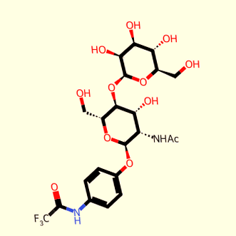 CC(=O)N[C@@H]1[C@@H](Oc2ccc(NC(=O)C(F)(F)F)cc2)O[C@H](CO)[C@@H](O[C@@H]2O[C@H](CO)[C@@H](O)[C@H](O)[C@@H]2O)[C@@H]1O